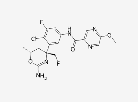 COc1cnc(C(=O)Nc2cc(F)c(Cl)c([C@@]3(CF)C[C@@H](C)OC(N)=N3)c2)cn1